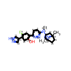 CCN(c1ccc(-c2cc(F)c(-c3cn[nH]c3)cc2O)nn1)[C@H]1C[C@]2(C)CC[C@](C)(C1)N2